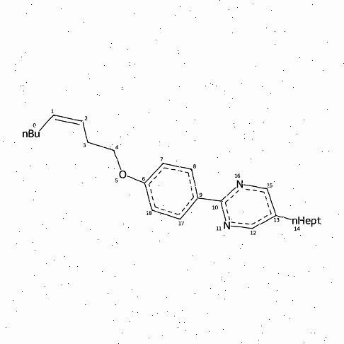 CCCC/C=C\CCOc1ccc(-c2ncc(CCCCCCC)cn2)cc1